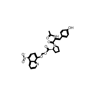 CC(=O)N/C(=C\c1ccc(O)cc1)C(=O)N1CCC[C@H]1C(=O)OCOc1ccc([N+](=O)[O-])c2cccnc12